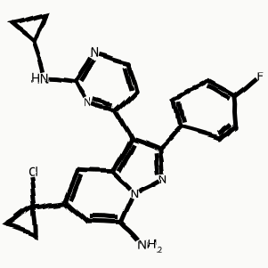 Nc1cc(C2(Cl)CC2)cc2c(-c3ccnc(NC4CC4)n3)c(-c3ccc(F)cc3)nn12